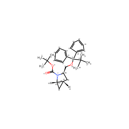 CC(C)(C)OC(=O)N1[C@@H](CO[Si](c2ccccc2)(c2ccccc2)C(C)(C)C)C[C@@H]2C[C@@H]21